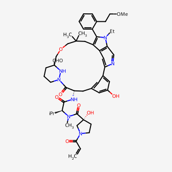 C=CC(=O)N1CC[C@](O)(C(=O)N(C)[C@H](C(=O)N[C@H]2Cc3cc(O)cc(c3)-c3cc4c(c(-c5ccccc5CCOC)n(CC)c4cn3)CC(C)(C)COCC3(C=O)CCCN(N3)C2=O)C(C)C)C1